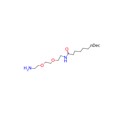 CCCCCCCCCCCCCCCC(=O)NCCOCCOCCN